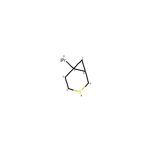 CC(C)C12CCSCC1C2